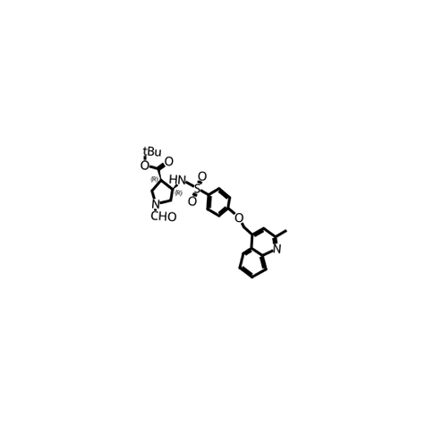 Cc1cc(COc2ccc(S(=O)(=O)N[C@H]3CN(C=O)C[C@H]3C(=O)OC(C)(C)C)cc2)c2ccccc2n1